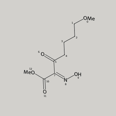 COCCCCC(=O)/C(=N\O)C(=O)OC